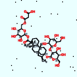 C=C1C[C@@]23CC[C@H]4[C@@](C)(CCC[C@@]4(C)C(=O)O[C@@H]4OC(COC(=O)CC(=O)O)[C@@H](O)C(O)[C@@H]4O)[C@@H]2CC[C@]1(O[C@@H]1O[C@H](CO)C(O)C(O)[C@H]1O[C@@H]1OC(CO)[C@@H](O)C(O)C1O)C3